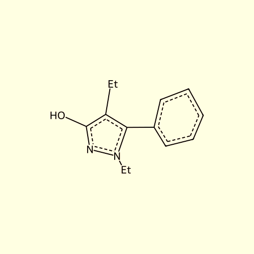 CCc1c(O)nn(CC)c1-c1ccccc1